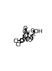 CN1/C(=C(/C#N)C2=[N+](CCC(=O)O)CCO2)N(CCOC=O)c2cc(Cl)c(Cl)cc21